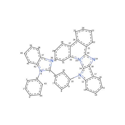 c1ccc(-n2c(-c3cccc(-n4c5ccccc5c5nc6c7ccccc7c7ccccc7n6c54)c3)nc3ccccc32)cc1